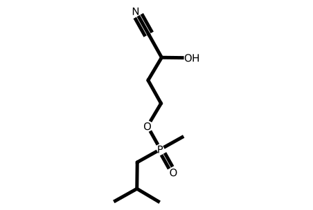 CC(C)CP(C)(=O)OCCC(O)C#N